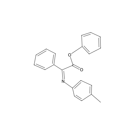 Cc1ccc(N=C(C(=O)Oc2ccccc2)c2ccccc2)cc1